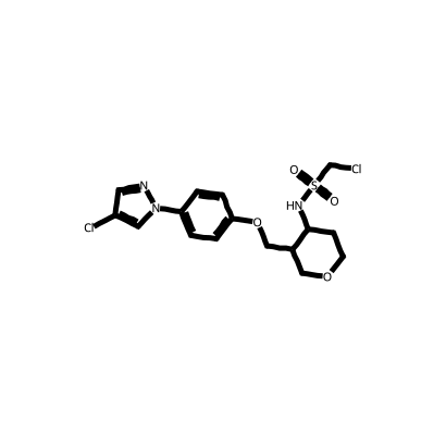 O=S(=O)(CCl)NC1CCOCC1COc1ccc(-n2cc(Cl)cn2)cc1